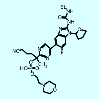 CCNC(=O)Nc1nc2cc(-c3cnc(C(C)(CCCC#N)OP(=O)(O)OCCN4CCOCC4)nc3)c(F)cc2n1C1CCCO1